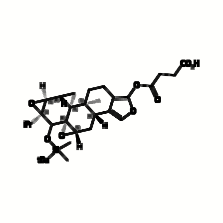 CC(C)[C@]12O[C@H]1[C@@H]1C[C@@]13[C@@]1(C)CCc4c(coc4OC(=O)CCC(=O)O)[C@@H]1C[C@@H]1O[C@@]13C2O[Si](C)(C)C(C)(C)C